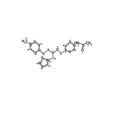 CC(=O)Nc1ccc(COC(CCc2ccc(C)cc2)Cn2ccnc2)cc1